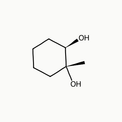 C[C@@]1(O)CCCC[C@H]1O